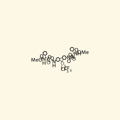 COC(=O)N[C@@H](C(=O)N1CCC[C@H]1C(=O)Nc1ccc2c(c1)C(CCCC(F)(F)F)(CCCC(F)(F)F)c1cc(NC(=O)[C@@H]3CCCN3C(=O)[C@H](NC(=O)OC)c3ccccc3)ccc1-2)c1ccccc1